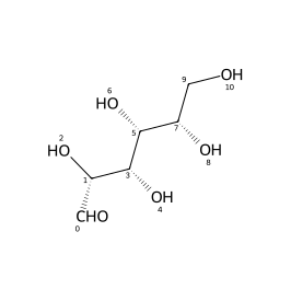 O=C[C@H](O)[C@@H](O)[C@H](O)[C@@H](O)CO